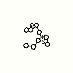 c1ccc(-c2cccc(-c3ccc(N(c4ccc(-c5cccc6oc7c8ccccc8ccc7c56)cc4)c4cccc5c4sc4ccccc45)cc3)c2)cc1